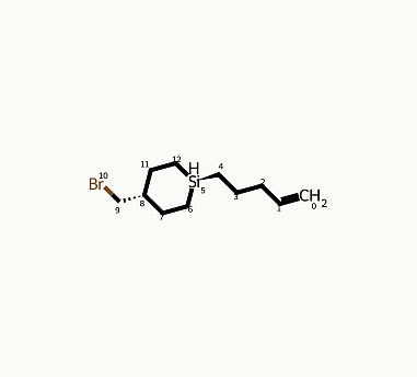 C=CCCC[Si@H]1CC[C@H](CBr)CC1